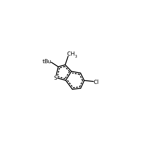 Cc1c(C(C)(C)C)sc2ccc(Cl)cc12